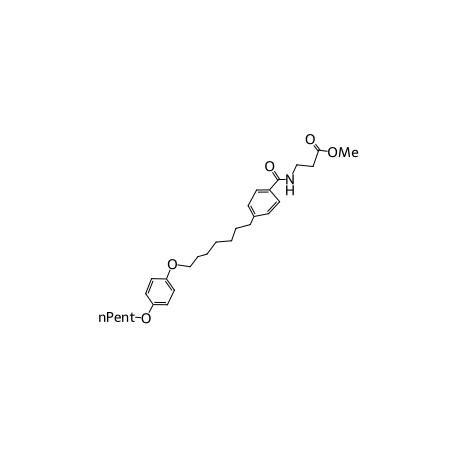 CCCCCOc1ccc(OCCCCCCCc2ccc(C(=O)NCCC(=O)OC)cc2)cc1